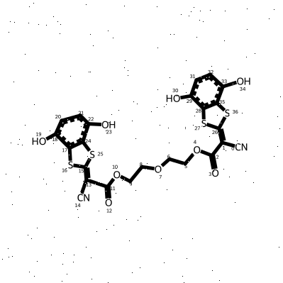 N#CC(C(=O)OCCOCCOC(=O)C(C#N)=C1Sc2c(O)ccc(O)c2S1)=C1Sc2c(O)ccc(O)c2S1